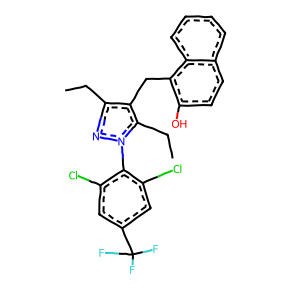 CCc1nn(-c2c(Cl)cc(C(F)(F)F)cc2Cl)c(CC)c1Cc1c(O)ccc2ccccc12